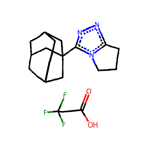 C1Cc2nnc(C34CC5CC(CC(C5)C3)C4)n2C1.O=C(O)C(F)(F)F